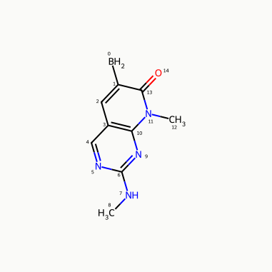 Bc1cc2cnc(NC)nc2n(C)c1=O